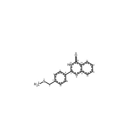 CSCc1ccc(-c2nc3ccccc3c(=O)[nH]2)cc1